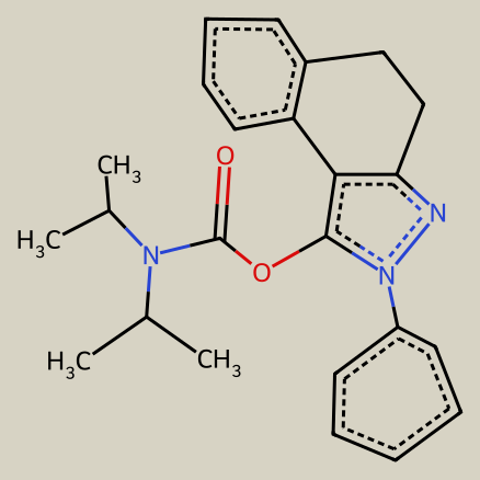 CC(C)N(C(=O)Oc1c2c(nn1-c1ccccc1)CCc1ccccc1-2)C(C)C